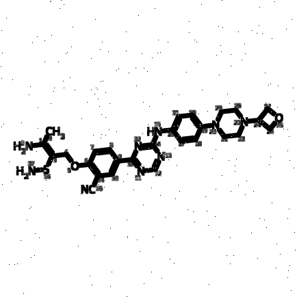 C/C(N)=C(\COc1ccc(-c2ncnc(Nc3ccc(N4CCN(C5COC5)CC4)cc3)n2)cc1C#N)SN